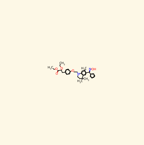 CCOC(=O)C(Cc1ccc(OCCN2CCC(C)(C)c3cc(C(=NO)c4ccccc4)c(C)cc32)cc1)OCC